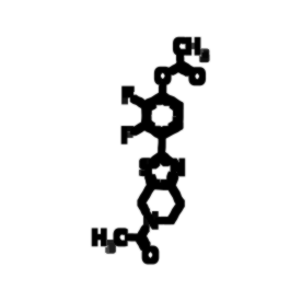 CC(=O)Oc1ccc(-c2nc3c(s2)CN(C(C)=O)CC3)c(F)c1F